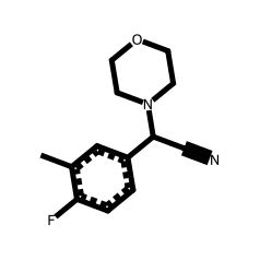 Cc1cc(C(C#N)N2CCOCC2)ccc1F